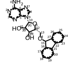 Nc1ncnc2c1ncn2[C@@H]1O[C@H](COC2c3ccccc3-c3ccccc32)[C@@H](O)[C@H]1O